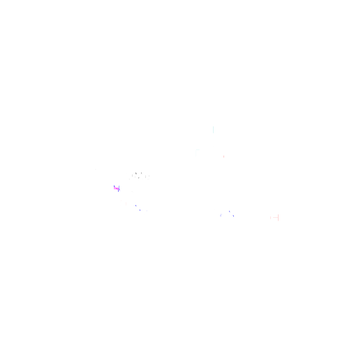 C=C(\N=C/C(=C\C)C(/C=C\C(C)=N\C1=C(C)C(c2ccccc2OC(F)F)CC1O)=C\C)N1CC2CCC(C1)C2C(=O)OC